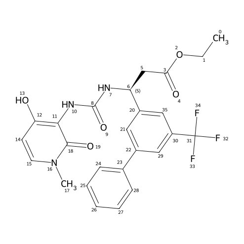 CCOC(=O)C[C@H](NC(=O)Nc1c(O)ccn(C)c1=O)c1cc(-c2ccccc2)cc(C(F)(F)F)c1